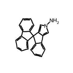 Nn1cc2c(c1)C1(c3ccccc3-c3ccccc31)c1ccccc1-2